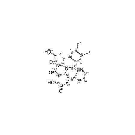 C=CCCc1cc(F)c(F)cc1[C@H](c1ccccn1)N1CN(CC)C(=O)c2c(O)c(=O)ccn21